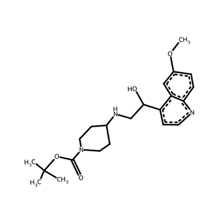 COc1ccc2nccc(C(O)CNC3CCN(C(=O)OC(C)(C)C)CC3)c2c1